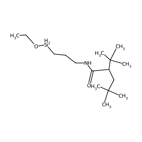 CCO[SiH2]CCCNC(=O)C(CC(C)(C)C)C(C)(C)C